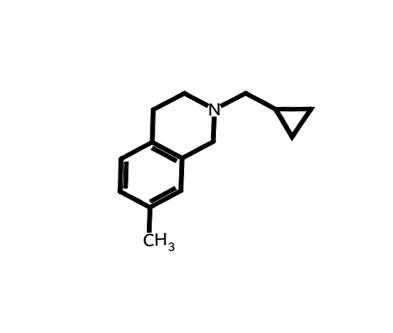 Cc1ccc2c(c1)CN(CC1CC1)CC2